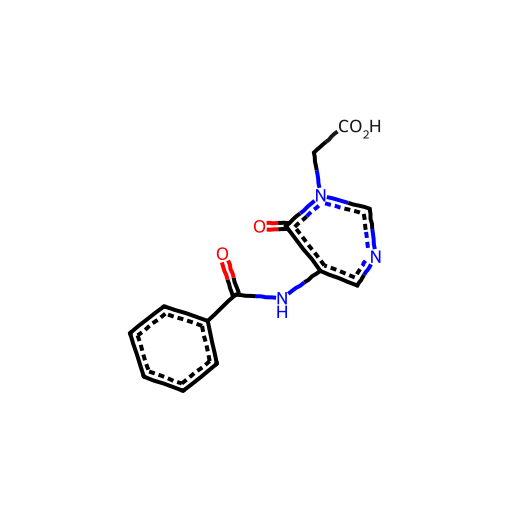 O=C(O)Cn1cncc(NC(=O)c2ccccc2)c1=O